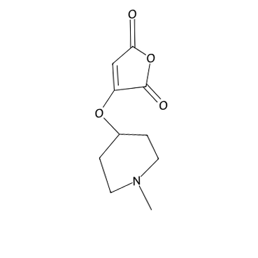 CN1CCC(OC2=CC(=O)OC2=O)CC1